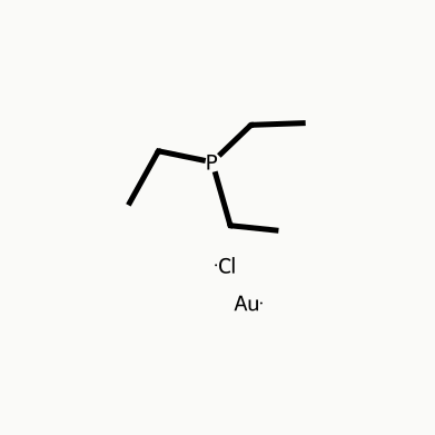 CCP(CC)CC.[Au].[Cl]